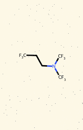 FC(F)(F)CCN(C(F)(F)F)C(F)(F)F